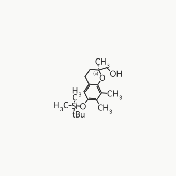 Cc1c(O[Si](C)(C)C(C)(C)C)cc2c(c1C)O[C@](C)(CO)CC2